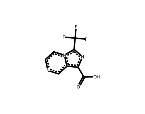 O=C(O)c1nc(C(F)(F)F)n2ccncc12